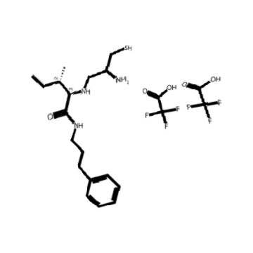 CC[C@H](C)[C@@H](NCC(N)CS)C(=O)NCCCc1ccccc1.O=C(O)C(F)(F)F.O=C(O)C(F)(F)F